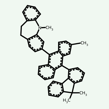 Cc1ccc2c(-c3ccc4c(c3)N(C)c3ccccc3CC4)c3ccccc3c(-c3cccc4c3-c3ccccc3C4(C)C)c2c1